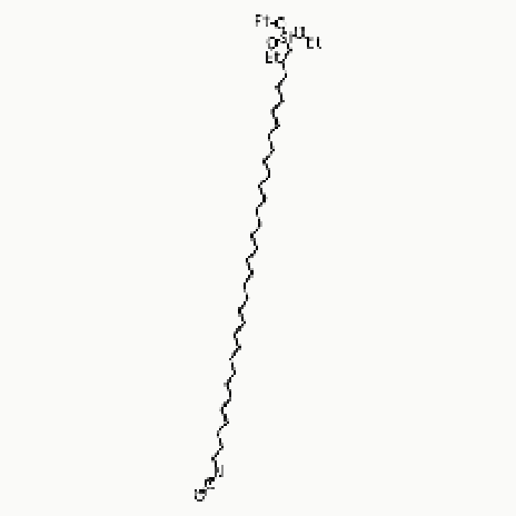 CCO[Si](CCCCCCCCCCCCCCCCCCCCCCCCCCCCCCCCCCN=C=O)(OCC)OCC